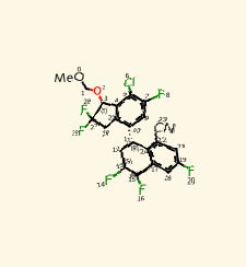 COCO[C@H]1c2c(Cl)c(F)cc([C@H]3C[C@H](F)[C@H](F)c4cc(F)cc(C#N)c43)c2CC1(F)F